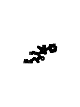 CCCN(C(=O)C(C)CSC)c1sc(-c2cccnc2)nc1C